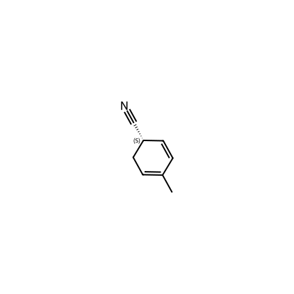 CC1=CC[C@H](C#N)C=C1